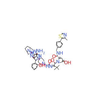 Cc1ncsc1-c1ccc(CNC(=O)[C@@H]2C[C@@H](O)CN2C(=O)[C@@H](NC(=O)CN2CCC(c3cnc(N4C5CCC4CN(c4cc(-c6ccccc6O)nnc4N)C5)nc3)CC2)C(C)(C)C)cc1